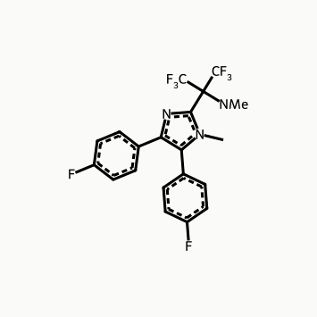 CNC(c1nc(-c2ccc(F)cc2)c(-c2ccc(F)cc2)n1C)(C(F)(F)F)C(F)(F)F